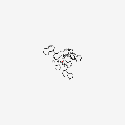 CCCCCCC1=Cc2c(-c3cccc4ccccc34)ccc(-c3cccc4ccccc34)c2[CH]1[Zr]([CH]1C(CCCCCC)=Cc2c(-c3cccc4ccccc34)ccc(-c3cccc4ccccc34)c21)[SiH](C)C